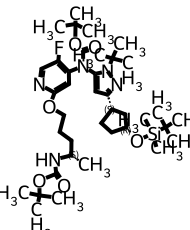 C[C@@H](CCCOc1cc(N(C(=O)OC(C)(C)C)c2cc([C@H]3CC[C@@H](O[Si](C)(C)C(C)(C)C)C3)nn2C(C)(C)C)c(F)cn1)NC(=O)OC(C)(C)C